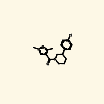 Cc1nn(C)cc1C(=O)N1CCCC(c2ccc(Cl)cc2)C1